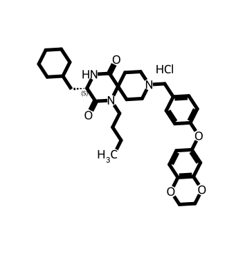 CCCCN1C(=O)[C@H](CC2CCCCC2)NC(=O)C12CCN(Cc1ccc(Oc3ccc4c(c3)OCCO4)cc1)CC2.Cl